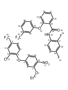 CCOc1cc(Oc2ccc(C(F)(F)F)cc2Cl)ccc1[N+](=O)[O-].O=C(Nc1ccc(F)cc1F)c1cccnc1Oc1cccc(C(F)(F)F)c1